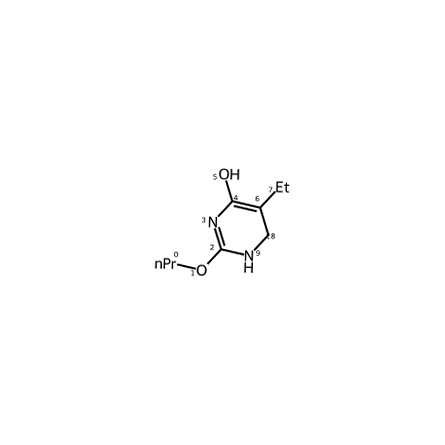 CCCOC1=NC(O)=C(CC)[CH]N1